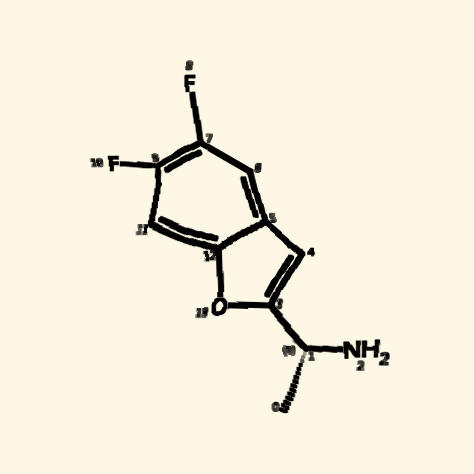 C[C@@H](N)c1cc2cc(F)c(F)cc2o1